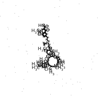 CO[C@]1(C)C[C@H](O[C@H]2[C@H](C)[C@@H](O[C@@H]3O[C@H](C)C[C@H](N(C)C)[C@H]3O)[C@](C)(O)C[C@@H](C)CN(C)[C@H](C)[C@@H](O)[C@@]3(O)CC[C@H]3OC(=O)[C@@H]2C)O[C@@H](C)[C@@H]1OCCN(CCCc1ccc2c(c1)c(=O)c(C(=O)O)cn2N(C)C)C1CC1